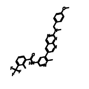 COc1ccc(CN(C)c2ncc3cc(-c4cc(NC(=O)c5cccc(C(F)(F)F)c5C)cnc4C)cnc3n2)cc1